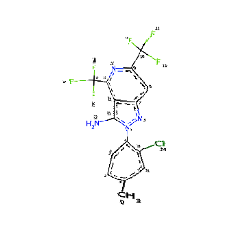 Cc1ccc(-n2nc3cc(C(F)(F)F)nc(C(F)(F)F)c3c2N)c(Cl)c1